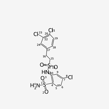 NS(=O)(=O)c1ccc(Cl)cc1NS(=O)(=O)CCc1ccc(Cl)c(Cl)c1